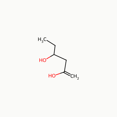 C=C(O)CC(O)CC